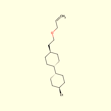 C=CCOCC[C@H]1CC[C@H]([C@H]2CC[C@H](CC)CC2)CC1